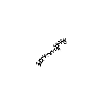 FC(F)(F)c1ccc(C=NOCCCCCCOc2c(Cl)cc(OCC=C(Cl)Cl)cc2Cl)cc1